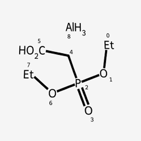 CCOP(=O)(CC(=O)O)OCC.[AlH3]